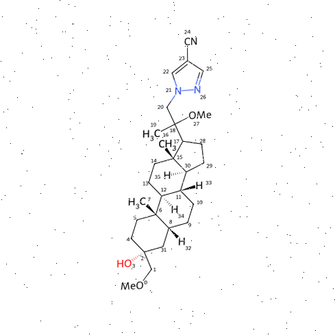 COC[C@@]1(O)CC[C@@]2(C)[C@H](CC[C@@H]3[C@@H]2CC[C@]2(C)C(C(C)(Cn4cc(C#N)cn4)OC)CC[C@@H]32)C1